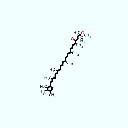 COC(C)(C)CCC(=O)/C(C)=C/C=C/C(C)=C/C=C/C(C)=C/C=C/C=C(C)/C=C/C=C(C)/C=C/c1ccc(C)c(C)c1C